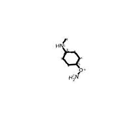 CNC1CCC(ON)CC1